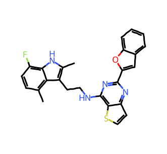 Cc1[nH]c2c(F)ccc(C)c2c1CCNc1nc(-c2cc3ccccc3o2)nc2ccsc12